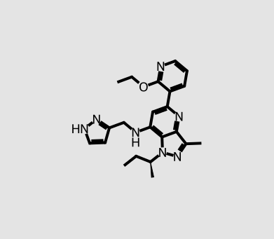 CCOc1ncccc1-c1cc(NCc2cc[nH]n2)c2c(n1)c(C)nn2[C@@H](C)CC